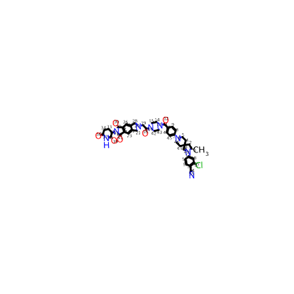 C[C@H]1CC2(CCN(c3ccc(C(=O)N4CCN(C(=O)CN5Cc6cc7c(cc6C5)C(=O)N(C5CCC(=O)NC5=O)C7=O)CC4)cc3)CC2)CN1c1ccc(C#N)c(Cl)c1